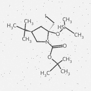 C[SiH](C)O[C@]1(CI)C[C@H](C(C)(C)C)CN1C(=O)OC(C)(C)C